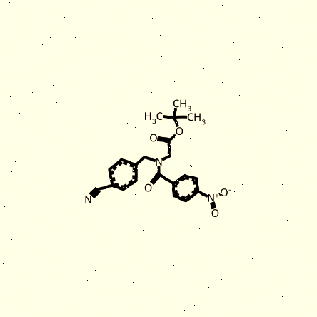 CC(C)(C)OC(=O)CN(Cc1ccc(C#N)cc1)C(=O)c1ccc([N+](=O)[O-])cc1